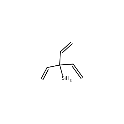 C=CC([SiH3])(C=C)C=C